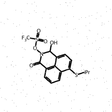 CC(C)Sc1ccc2c3c(cccc13)C(=O)N(OS(=O)(=O)C(F)(F)F)C2O